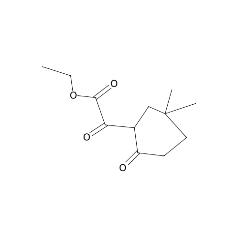 CCOC(=O)C(=O)C1CC(C)(C)CCC1=O